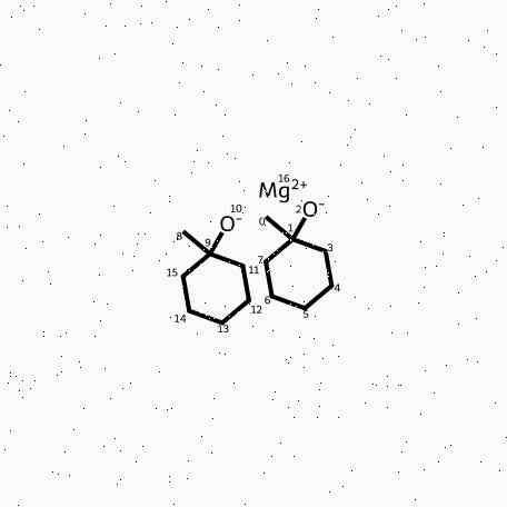 CC1([O-])CCCCC1.CC1([O-])CCCCC1.[Mg+2]